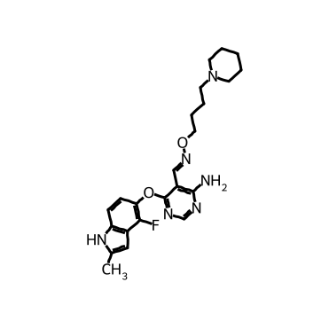 Cc1cc2c(F)c(Oc3ncnc(N)c3/C=N/OCCCCN3CCCCC3)ccc2[nH]1